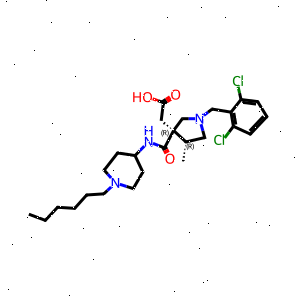 CCCCCCN1CCC(NC(=O)[C@@]2(CC(=O)O)CN(Cc3c(Cl)cccc3Cl)C[C@@H]2C)CC1